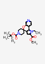 CCn1c(C(=O)OC)cc2c1-c1ccncc1OC21CCN(C(=O)OC(C)(C)C)CC1